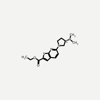 CCOC(=O)c1cc2ccc(N3CC[C@@H](N(C)C)C3)nc2s1